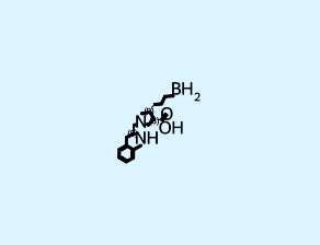 BCCCC[C@H]1CN(C[C@@H]2Cc3ccccc3CN2)C[C@H]1C(=O)O